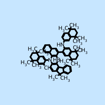 Cc1cc2c(cc1N1c3ccc4c(c3Bc3c(-c5cc6c(cc5Nc5ccc7c(c5)C(C)(C)CCC7(C)C)C(C)(C)CCC6(C)C)cc5ccccc5c31)-c1ccccc1C4(C)C)C(C)(C)CCC2(C)C